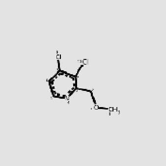 COCc1nccc(Cl)c1Cl